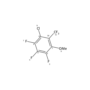 COc1c(F)c(F)c(F)c(Cl)c1C(F)(F)F